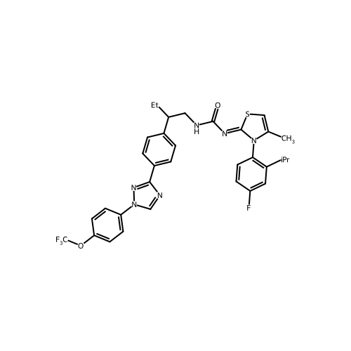 CCC(CNC(=O)/N=c1\scc(C)n1-c1ccc(F)cc1C(C)C)c1ccc(-c2ncn(-c3ccc(OC(F)(F)F)cc3)n2)cc1